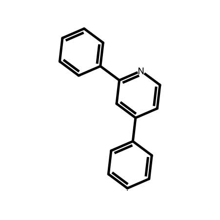 [c]1ccc(-c2ccnc(-c3ccccc3)c2)cc1